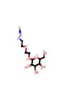 [N-]=[N+]=NCCOCCOC1OC(CO)C(O)C(O)C1O